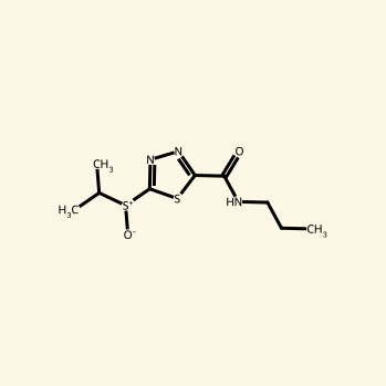 CCCNC(=O)c1nnc([S+]([O-])C(C)C)s1